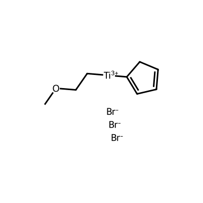 COC[CH2][Ti+3][C]1=CC=CC1.[Br-].[Br-].[Br-]